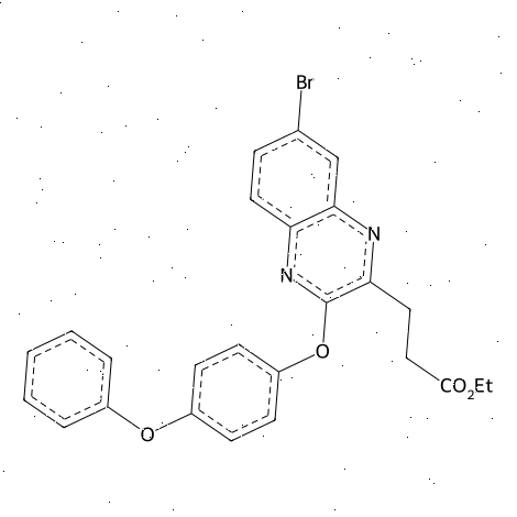 CCOC(=O)CCc1nc2cc(Br)ccc2nc1Oc1ccc(Oc2ccccc2)cc1